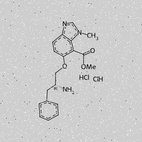 COC(=O)c1c(OC[C@H](N)Cc2ccccc2)ccc2ncn(C)c12.Cl.Cl